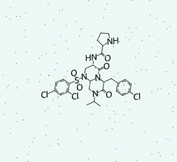 CC(C)N1CC2N(C(=O)C(NC(=O)C3CCCN3)CN2S(=O)(=O)c2ccc(Cl)cc2Cl)C(Cc2ccc(Cl)cc2)C1=O